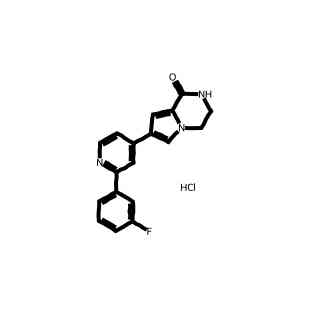 Cl.O=C1NCCn2cc(-c3ccnc(-c4cccc(F)c4)c3)cc21